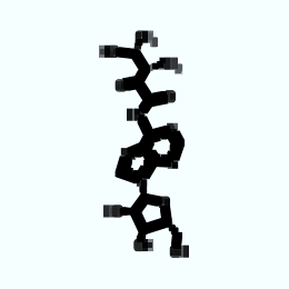 C[C@@H](O)[C@H](N)C(=O)C(=O)Nc1ncnc2c1ncn2[C@@H]1O[C@H](CO)[C@@H](O)[C@H]1O